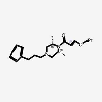 CC(C)O/C=C/C(=O)N1[C@H](C)CN(CCCc2ccccc2)C[C@@H]1C